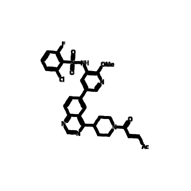 COc1ncc(-c2ccc3ncnc(C4CCN(C(=O)/C=C/C(C)=O)CC4)c3c2)cc1NS(=O)(=O)c1c(F)cccc1Cl